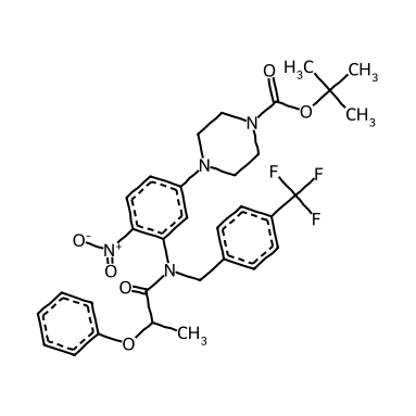 CC(Oc1ccccc1)C(=O)N(Cc1ccc(C(F)(F)F)cc1)c1cc(N2CCN(C(=O)OC(C)(C)C)CC2)ccc1[N+](=O)[O-]